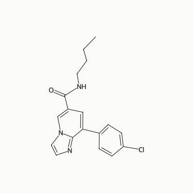 CCCCNC(=O)c1cc(-c2ccc(Cl)cc2)c2nccn2c1